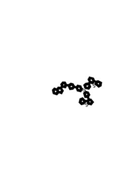 c1cc(-c2ccc(-c3ccc(N(c4ccc(-c5cccc6c5sc5ccccc56)cc4)c4ccc(-c5cccc6sc7ccccc7c56)cc4)cc3)cc2)cc(-c2ccc3ccccc3c2)c1